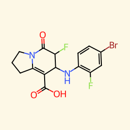 O=C(O)C1=C2CCCN2C(=O)C(F)C1Nc1ccc(Br)cc1F